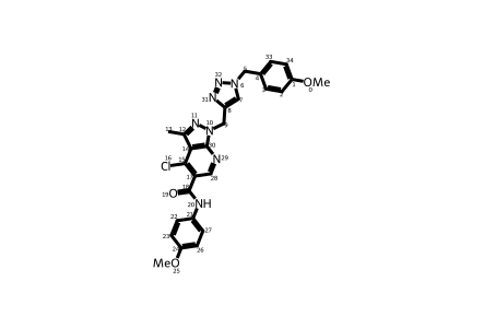 COc1ccc(Cn2cc(Cn3nc(C)c4c(Cl)c(C(=O)Nc5ccc(OC)cc5)cnc43)nn2)cc1